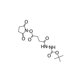 CC(C)(C)OC(=O)NNC(=O)CCC(=O)ON1C(=O)CCC1=O